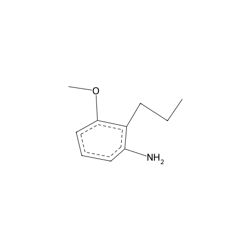 CCCc1c(N)cccc1OC